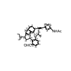 CC(=O)Nc1nnc(C#Cc2ccc3nc4n(c3c2)C(c2c(C=O)cccc2OC(F)F)CC4N(C)C)s1